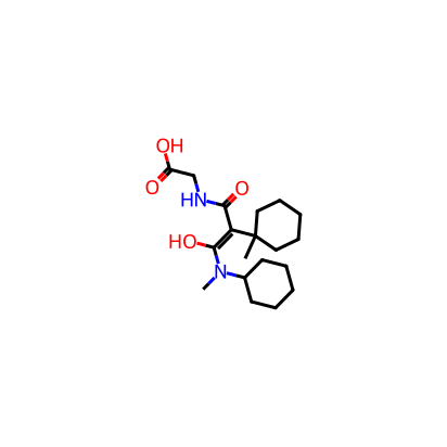 CN(/C(O)=C(/C(=O)NCC(=O)O)C1(C)CCCCC1)C1CCCCC1